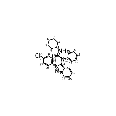 O=C(NC1CCCCC1)N(c1ccccc1)c1c2ccccc2nn1-c1ccc(Cl)cc1